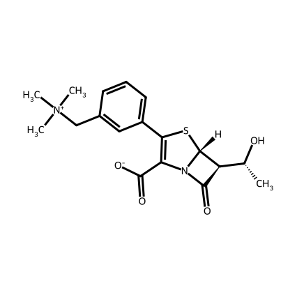 C[C@@H](O)[C@H]1C(=O)N2C(C(=O)[O-])=C(c3cccc(C[N+](C)(C)C)c3)S[C@H]12